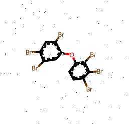 Brc1cc(Br)c(Oc2ccc(Br)c(Br)c2Br)cc1Br